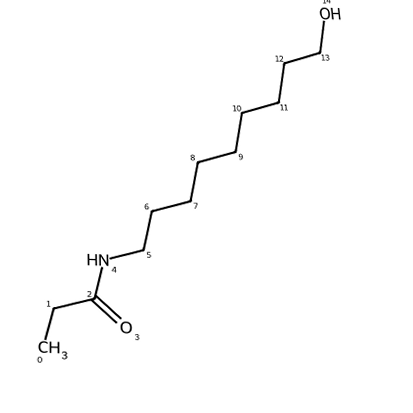 CCC(=O)NCCCCCCCCCO